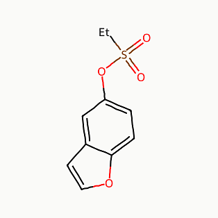 CCS(=O)(=O)Oc1ccc2occc2c1